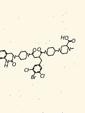 CN1CCN(C2CCN(C(=O)C(CC(=O)N3CCC(N4Cc5ccccc5NC4=O)CC3)Cc3cc(Cl)c(Br)c(Cl)c3)CC2)CC1C(=O)O